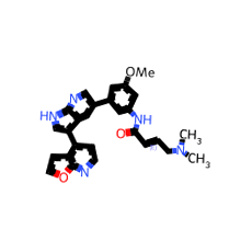 COc1cc(NC(=O)/C=C/CN(C)C)cc(-c2cnc3[nH]cc(-c4ccnc5occc45)c3c2)c1